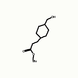 CC(C)(C)OC(=O)CCC1CCC(CO)CC1